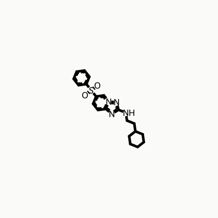 O=S(=O)(c1ccccc1)c1ccc2nc(NCCC3CCCCC3)nn2c1